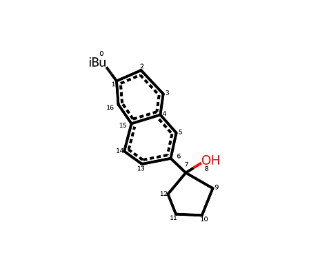 CCC(C)c1ccc2cc(C3(O)CCCC3)ccc2c1